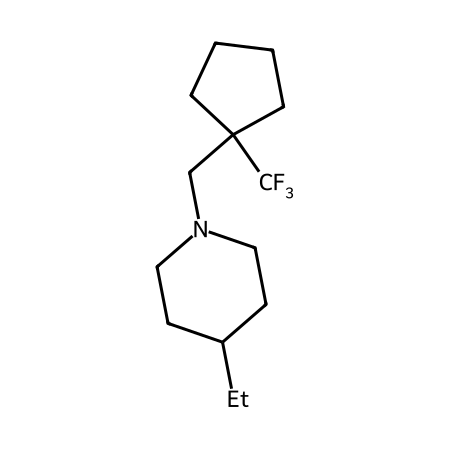 CCC1CCN(CC2(C(F)(F)F)CCCC2)CC1